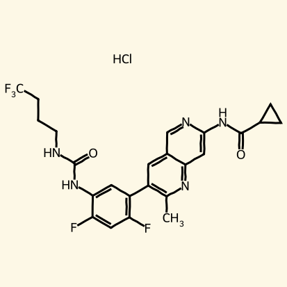 Cc1nc2cc(NC(=O)C3CC3)ncc2cc1-c1cc(NC(=O)NCCCC(F)(F)F)c(F)cc1F.Cl